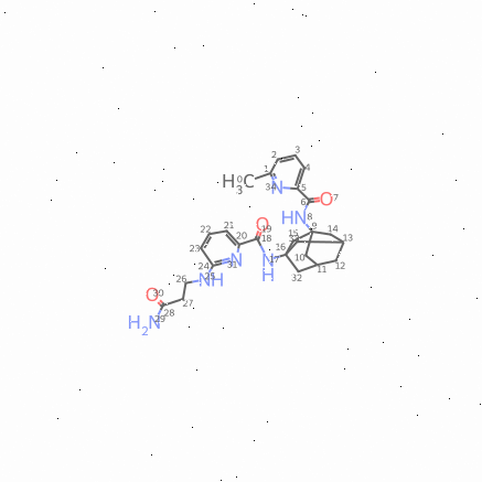 Cc1cccc(C(=O)NC23CC4CC(C2)CC(NC(=O)c2cccc(NCCC(N)=O)n2)(C4)C3)n1